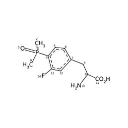 CP(C)(=O)c1ccc(CC(N)C(=O)O)cc1F